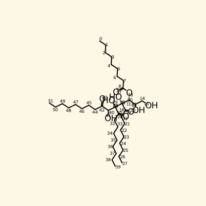 CCCCCCCCC(=O)O[C@H]([C@H](O)CO)[C@@](O)(C(=O)CCCCCCCC)[C@](O)(C(=O)CCCCCCCC)C(O)C(=O)CCCCCCCC